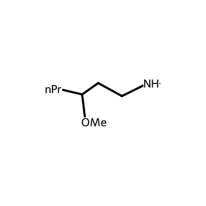 [CH2]CCC(CC[NH])OC